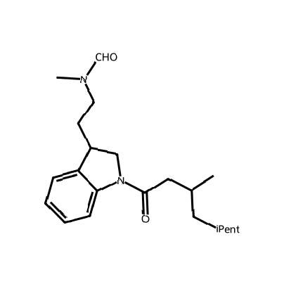 CCCC(C)CC(C)CC(=O)N1CC(CCN(C)C=O)c2ccccc21